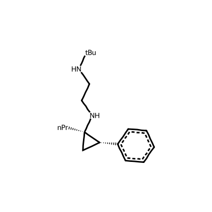 CCC[C@@]1(NCCNC(C)(C)C)C[C@H]1c1ccccc1